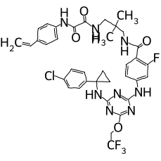 C=Cc1ccc(NC(=O)C(=O)NCC(C)(C)CNC(=O)c2ccc(Nc3nc(NC4(c5ccc(Cl)cc5)CC4)nc(OCC(F)(F)F)n3)cc2F)cc1